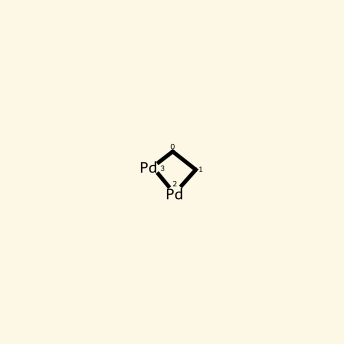 [CH2]1[CH2][Pd][Pd]1